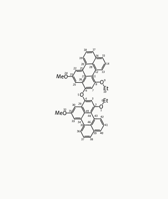 CCOc1cc(Oc2cc(OCC)c3c4cccc5cccc(c6cc(OC)cc2c63)c54)c2cc(OC)cc3c4cccc5cccc(c1c23)c54